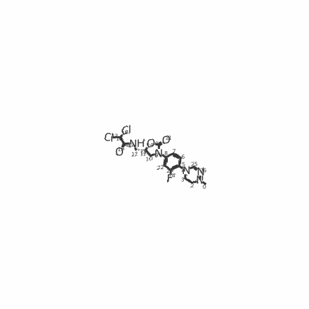 CN1CCN(c2ccc(N3C[C@H](CNC(=O)C(Cl)Cl)OC3=O)cc2F)C=N1